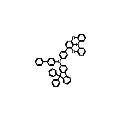 c1ccc(-c2ccc(N(c3ccc(-c4ccc5c6c4Oc4ccccc4N6c4ccccc4O5)cc3)c3ccc4c(c3)C(c3ccccc3)(c3ccccc3)c3ccccc3-4)cc2)cc1